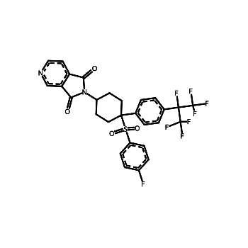 O=C1c2ccncc2C(=O)N1C1CCC(c2ccc(C(F)(C(F)(F)F)C(F)(F)F)cc2)(S(=O)(=O)c2ccc(F)cc2)CC1